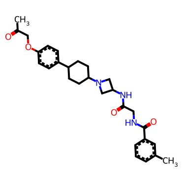 CC(=O)COc1ccc(C2CCC(N3CC(NC(=O)CNC(=O)c4cccc(C)c4)C3)CC2)cc1